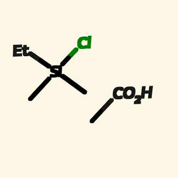 CC(=O)O.CC[Si](C)(C)Cl